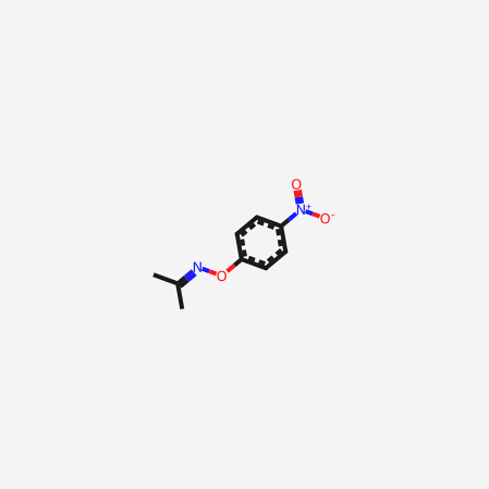 CC(C)=NOc1ccc([N+](=O)[O-])cc1